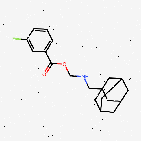 O=C(OCNCC12CC3CC(CC(C3)C1)C2)c1cccc(F)c1